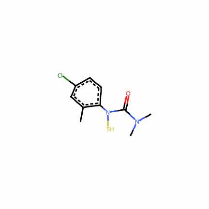 Cc1cc(Cl)ccc1N(S)C(=O)N(C)C